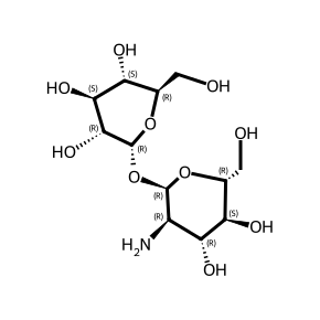 N[C@H]1[C@@H](O[C@H]2O[C@H](CO)[C@@H](O)[C@H](O)[C@H]2O)O[C@H](CO)[C@@H](O)[C@@H]1O